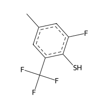 Cc1cc(F)c(S)c(C(F)(F)F)c1